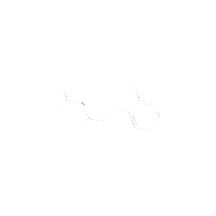 Cc1ccccc1CCC(C)C(=O)N(C)C